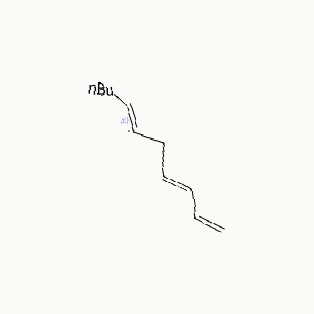 C=CC=CC/[C]=C/CCCC